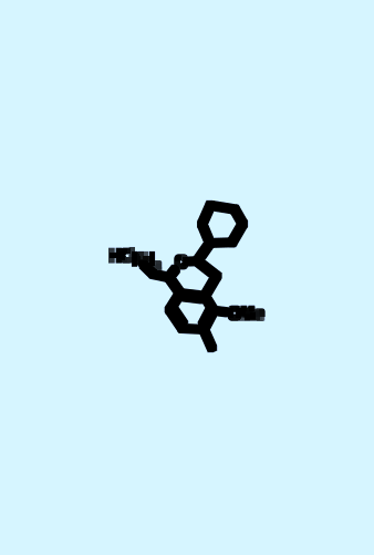 COc1c(C)ccc2c1CC(C1CCCCC1)OC2CN.Cl